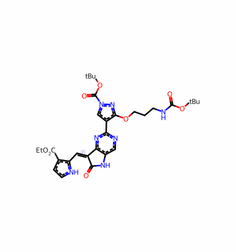 CCOC(=O)c1cc[nH]c1/C=C1\C(=O)Nc2cnc(-c3cn(C(=O)OC(C)(C)C)nc3OCCCNC(=O)OC(C)(C)C)nc21